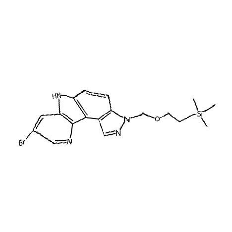 C[Si](C)(C)CCOCn1ncc2c3c(ccc21)[nH]c1cc(Br)cnc13